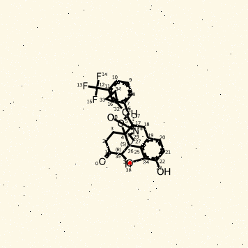 O=C1CCC2(OCc3cccc(C(F)(F)F)c3)[C@H]3Cc4ccc(O)c5c4[C@@]2(CC[N+]3([O-])CC2CC2)[C@H]1O5